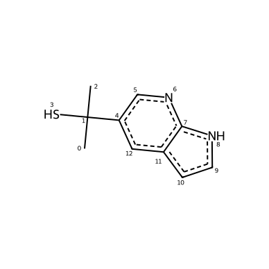 CC(C)(S)c1cnc2[nH]ccc2c1